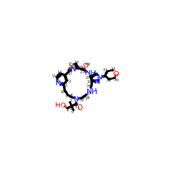 CC(C)(CO)C(=O)N1CCCc2cc(ccn2)-c2nc(cs2)C(=O)Nc2cn(C3CCOCC3)nc2CNCC1